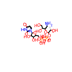 C[C@H](O)[C@H](OC(CN)[C@H](O)CO)OP(=O)(O)OP(=O)(O)OCC1OC(n2ccc(=O)[nH]c2=O)C(O)C1O